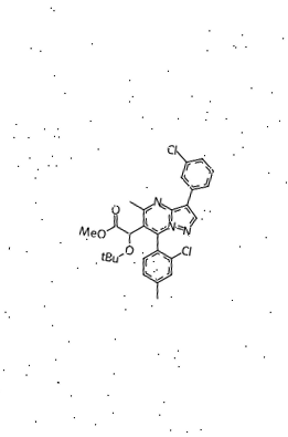 COC(=O)C(OC(C)(C)C)c1c(C)nc2c(-c3cccc(Cl)c3)cnn2c1-c1ccc(C)cc1Cl